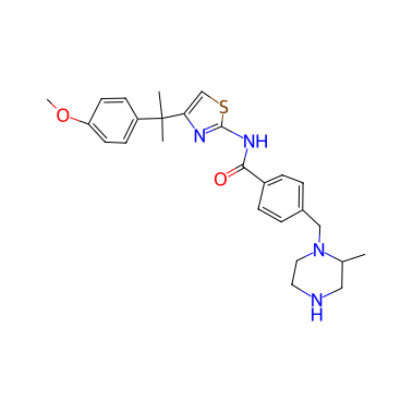 COc1ccc(C(C)(C)c2csc(NC(=O)c3ccc(CN4CCNCC4C)cc3)n2)cc1